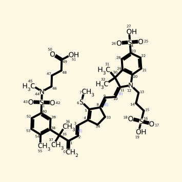 C=C(/C=C/C1=C(SC)C(=C/C=C2/N(CCCS(=O)(=O)O)c3ccc(S(=O)(=O)O)cc3C2(C)C)/CC1)C(C)(C)c1cc(S(=O)(=O)N(C)CCCC(=O)O)ccc1C